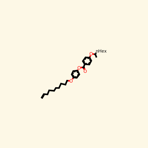 C=CCCCCCCCCOc1ccc(OC(=O)c2ccc(OC(C)CCCCCC)cc2)cc1